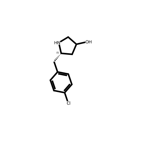 OC1CN[C@@H](Cc2ccc(Cl)cc2)C1